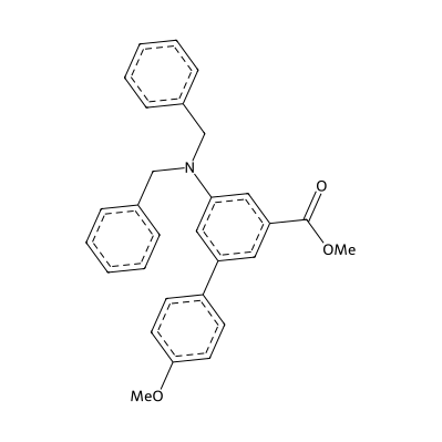 COC(=O)c1cc(-c2ccc(OC)cc2)cc(N(Cc2ccccc2)Cc2ccccc2)c1